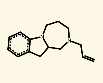 C=CCN1CCCN2c3ccccc3CC2C1